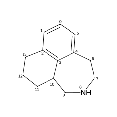 c1cc2c3c(c1)CCNCC3CCC2